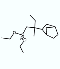 CCO[SiH](CC(C)(CC)C1CC2CCC1C2)OCC